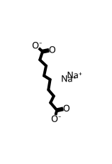 O=C([O-])CCCCCCCC(=O)[O-].[Na+].[Na+]